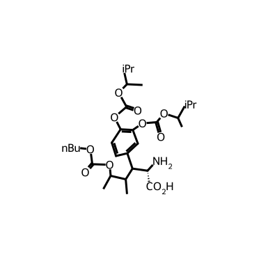 CCCCOC(=O)OC(C)C(C)C(c1ccc(OC(=O)OC(C)C(C)C)c(OC(=O)OC(C)C(C)C)c1)[C@H](N)C(=O)O